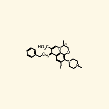 C[C@H]1COc2c(N3CCN(C)CC3)c(F)cc3c(=NOCc4ccccc4)c(C(=O)O)cn1c23